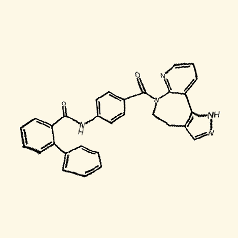 O=C(Nc1ccc(C(=O)N2CCc3cn[nH]c3-c3cccnc32)cc1)c1ccccc1-c1ccccc1